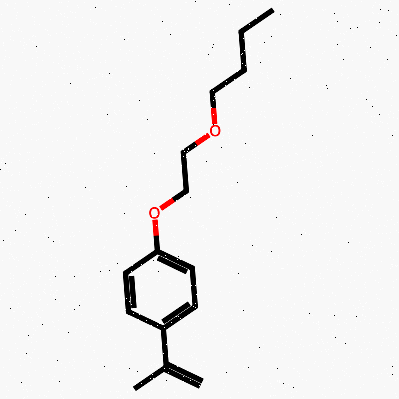 C=C(C)c1ccc(OCCOCCCC)cc1